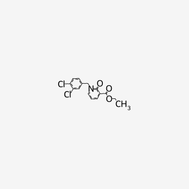 CCOC(=O)c1cccn(Cc2ccc(Cl)c(Cl)c2)c1=O